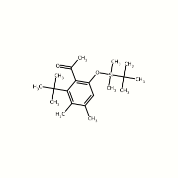 CC(=O)c1c(O[Si](C)(C)C(C)(C)C)cc(C)c(C)c1C(C)(C)C